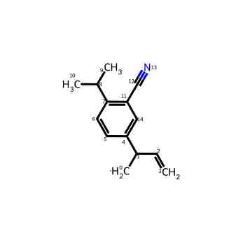 [CH2]C(C=C)c1ccc(C(C)C)c(C#N)c1